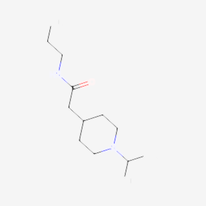 CCCNC(=O)CC1CCN(C(C)C)CC1